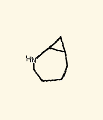 C1CCC2CC2NC1